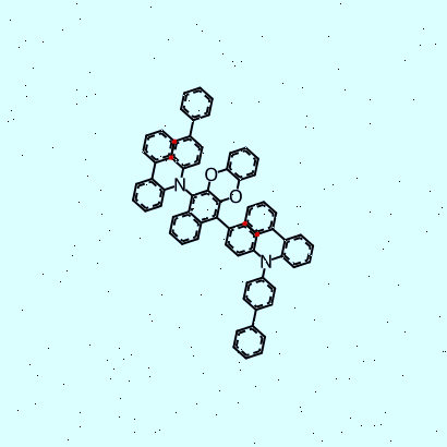 c1ccc(-c2ccc(N(c3ccc(-c4c5c(c(N(c6ccc(-c7ccccc7)cc6)c6ccccc6-c6ccccc6)c6ccccc46)Oc4ccccc4O5)cc3)c3ccccc3-c3ccccc3)cc2)cc1